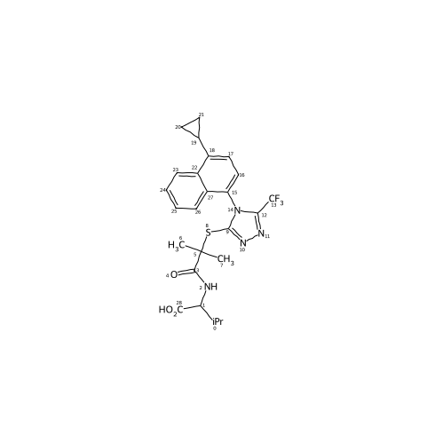 CC(C)C(NC(=O)C(C)(C)Sc1nnc(C(F)(F)F)n1-c1ccc(C2CC2)c2ccccc12)C(=O)O